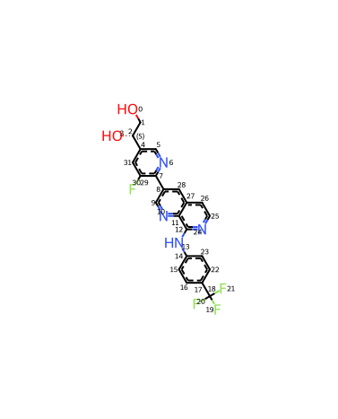 OC[C@@H](O)c1cnc(-c2cnc3c(Nc4ccc(C(F)(F)F)cc4)nccc3c2)c(F)c1